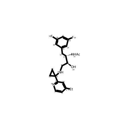 CCc1ccnc(C2(NC[C@H](O)[C@H](Cc3cc(F)cc(F)c3)NC(C)=O)CC2)c1